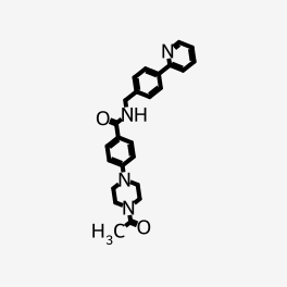 CC(=O)N1CCN(c2ccc(C(=O)NCc3ccc(-c4ccccn4)cc3)cc2)CC1